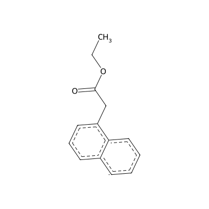 CCOC(=O)Cc1cccc2[c]cccc12